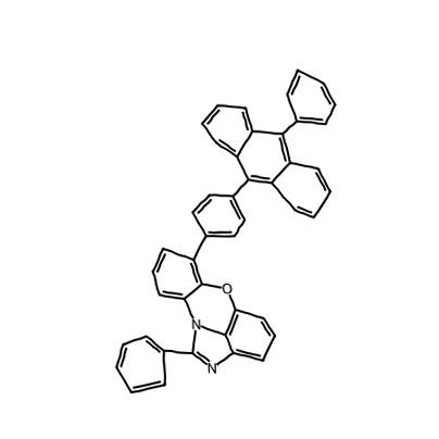 c1ccc(-c2c3ccccc3c(-c3ccc(-c4cccc5c4Oc4cccc6nc(-c7ccccc7)n-5c46)cc3)c3ccccc23)cc1